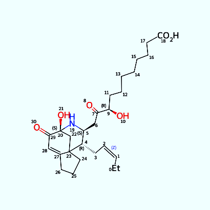 CC/C=C\C[C@H]1[C@H](CC(=O)[C@H](O)CCCCCCCC(=O)O)N[C@]2(O)CC13CCCC3=CC2=O